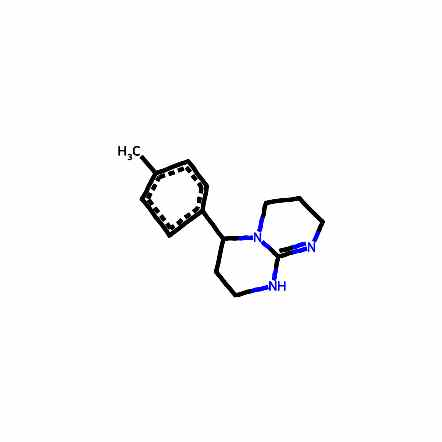 Cc1ccc(C2CCNC3=NCCCN32)cc1